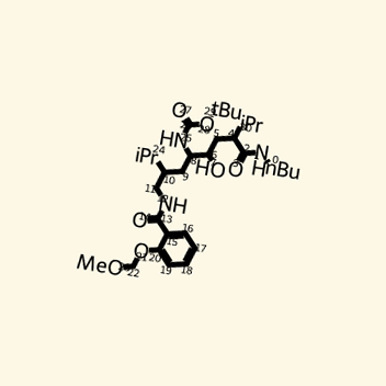 CCCCNC(=O)C(CC(O)C(CC(CNC(=O)c1ccccc1OCOC)C(C)C)NC(=O)OC(C)(C)C)C(C)C